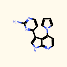 Nc1nccc(-c2c[nH]c3nccc(-n4cccc4)c23)n1